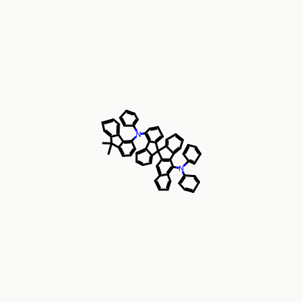 CC1(C)c2ccccc2-c2c(N(c3ccccc3)c3cccc4c3-c3ccccc3C43c4ccccc4-c4c3cc3ccccc3c4N(c3ccccc3)c3ccccc3)cccc21